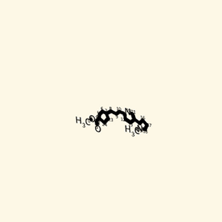 COC(=O)C1CCC(CCCc2ccc(C3CCCN3C)cn2)CC1